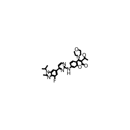 CC(=O)c1c(N2CCOCC2)c2ccc(Nc3nccc(-c4cc(F)c5nc(C)n(C(C)C)c5c4)n3)cc2oc1=O